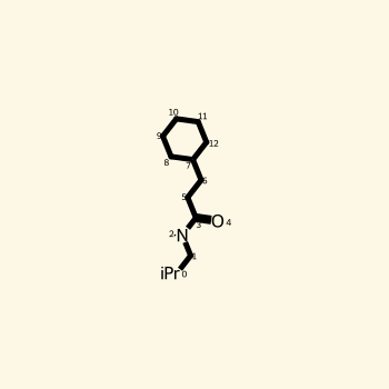 CC(C)C[N]C(=O)CCC1CCCCC1